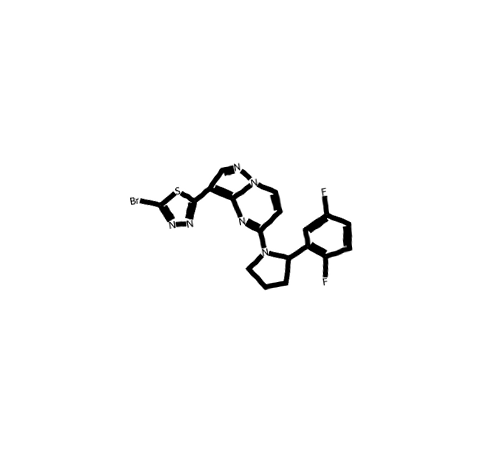 Fc1ccc(F)c(C2CCCN2c2ccn3ncc(-c4nnc(Br)s4)c3n2)c1